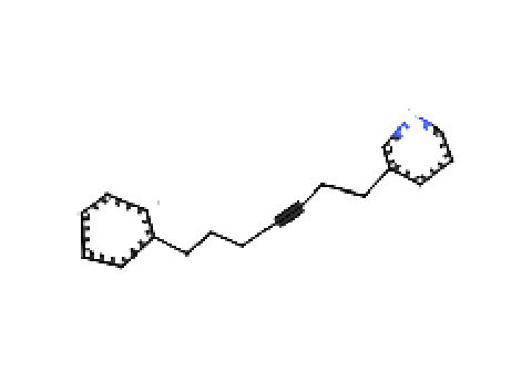 C(#CCCc1cccnc1)CCCc1ccccc1